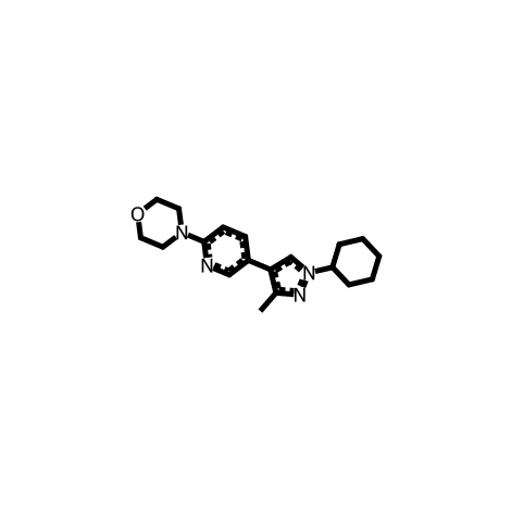 Cc1nn(C2CCCCC2)cc1-c1ccc(N2CCOCC2)nc1